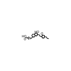 CCCc1ccc(CCc2cc3c(cc2O)CCC(CN2CC(C(=O)O)C2)=C3)c(OC)c1